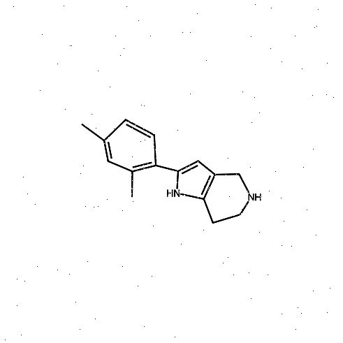 Cc1ccc(-c2cc3c([nH]2)CCNC3)c(C)c1